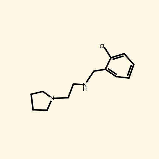 Clc1ccccc1CNCCN1CCCC1